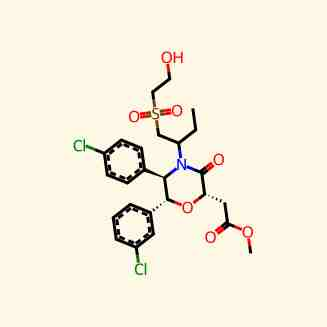 CCC(CS(=O)(=O)CCO)N1C(=O)[C@H](CC(=O)OC)O[C@H](c2cccc(Cl)c2)[C@H]1c1ccc(Cl)cc1